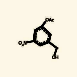 CC(=O)Oc1cc([CH]O)cc([N+](=O)[O-])c1